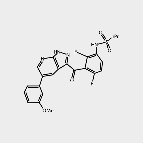 CCCS(=O)(=O)Nc1ccc(F)c(C(=O)c2n[nH]c3ncc(-c4cccc(OC)c4)cc23)c1F